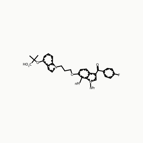 CCCc1c(OCCCn2ccc3c(OC(C)(C)C(=O)O)cccc32)ccc2c(C(=O)c3ccc(F)cc3)cn(CCC)c12